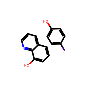 Oc1ccc(I)cc1.Oc1cccc2cccnc12